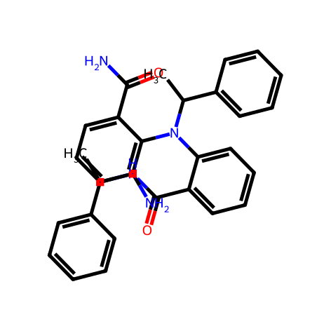 CC(NC(=O)c1ccccc1N(c1c(N)cccc1C(N)=O)C(C)c1ccccc1)c1ccccc1